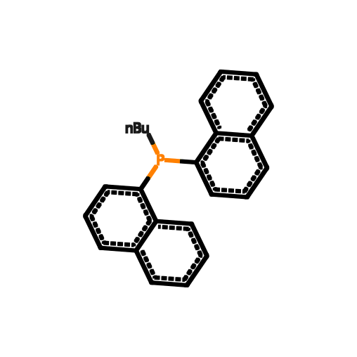 CCCCP(c1cccc2ccccc12)c1cccc2ccccc12